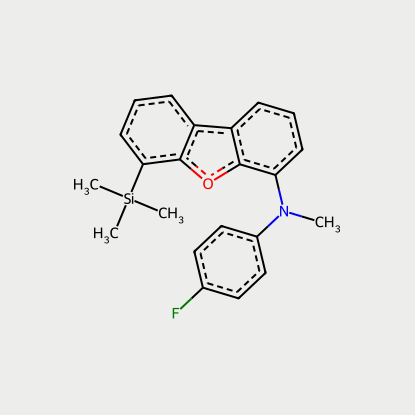 CN(c1ccc(F)cc1)c1cccc2c1oc1c([Si](C)(C)C)cccc12